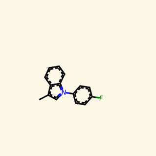 Cc1cn(-c2ccc(F)cc2)c2cc[c]cc12